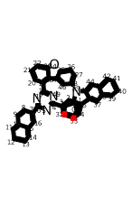 c1ccc(-c2nc(-c3ccc4ccccc4c3)nc(-c3cccc4oc5ccc(-n6c7ccccc7c7cc8ccccc8cc76)cc5c34)n2)cc1